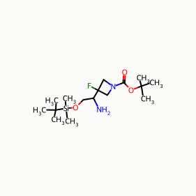 CC(C)(C)OC(=O)N1CC(F)(C(N)CO[Si](C)(C)C(C)(C)C)C1